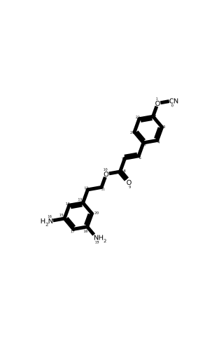 N#COc1ccc(/C=C/C(=O)OCCc2cc(N)cc(N)c2)cc1